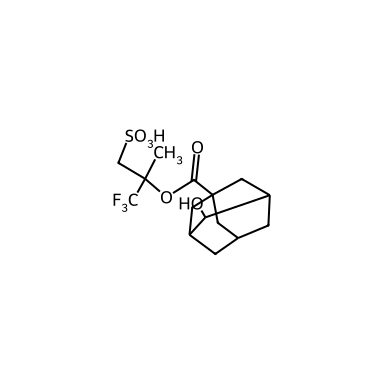 CC(CS(=O)(=O)O)(OC(=O)C12CC3CC(C1)C(O)C(C3)C2)C(F)(F)F